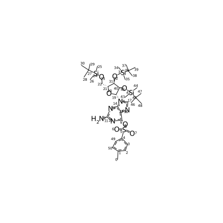 Cc1ccc(S(=O)(=O)Oc2nc(N)nc3c2ncn3[C@@H]2O[C@H](CO[Si](C)(C)C(C)(C)C)[C@@H](O[Si](C)(C)C(C)(C)C)[C@H]2O[Si](C)(C)C(C)(C)C)cc1